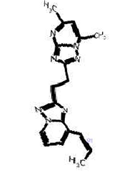 C/C=C\c1cccn2nc(CCc3nc4nc(C)cc(C)n4n3)nc12